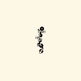 C=Nc1ccccc1NC(=O)c1ccc(Nc2ncc(-c3cnc4cc(CN5CCOCC5)ccn34)s2)s1